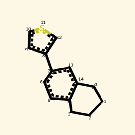 [C]1CCCc2ccc(-c3ccsc3)cc21